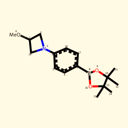 COC1CN(c2ccc(B3OC(C)(C)C(C)(C)O3)cc2)C1